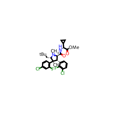 COC(=O)[C@H](NC(=O)[C@H]1[C@H](c2cccc(Cl)c2F)[C@@](C#N)(c2ccc(Cl)cc2F)[C@H](CC(C)(C)C)N1C)C1CC1